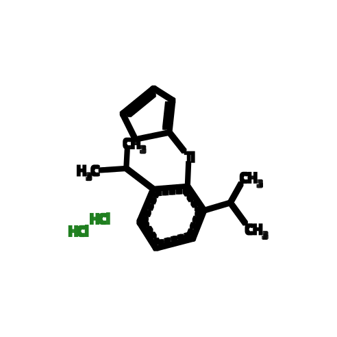 CC(C)c1cccc(C(C)C)[c]1[Ti][C]1=CC=CC1.Cl.Cl